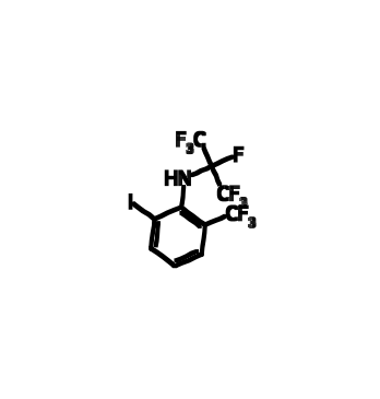 FC(F)(F)c1cccc(I)c1NC(F)(C(F)(F)F)C(F)(F)F